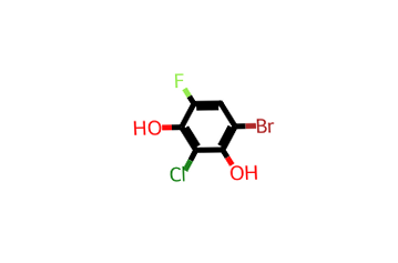 Oc1c(F)cc(Br)c(O)c1Cl